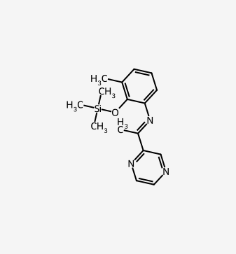 CC(=Nc1cccc(C)c1O[Si](C)(C)C)c1cnccn1